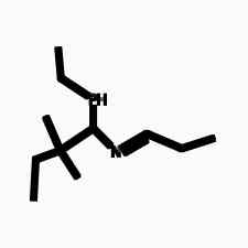 CCC=NC(PCC)C(C)(C)CC